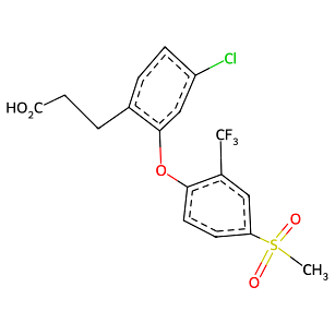 CS(=O)(=O)c1ccc(Oc2cc(Cl)ccc2CCC(=O)O)c(C(F)(F)F)c1